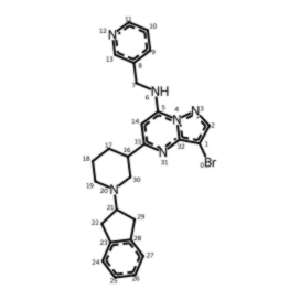 Brc1cnn2c(NCc3cccnc3)cc(C3CCCN(C4Cc5ccccc5C4)C3)nc12